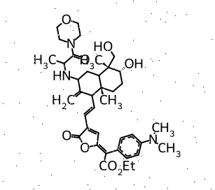 C=C1C(NC(C)C(=O)N2CCOCC2)CC2[C@](C)(CC[C@@H](O)[C@@]2(C)CO)C1/C=C/C1=CC(=C(/C(=O)OCC)c2ccc(N(C)C)cc2)/OC1=O